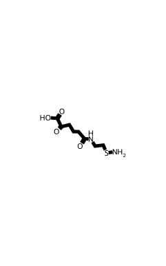 NSCCNC(=O)CCCC(=O)C(=O)O